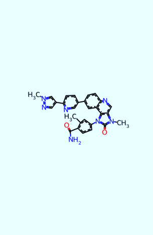 Cc1cc(-n2c(=O)n(C)c3cnc4ccc(-c5ccc(-c6cnn(C)c6)nc5)cc4c32)ccc1C(N)=O